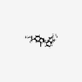 CCC(C)NC(=O)c1ccc2cc(-c3ccnc4[nH]c(C)nc34)[nH]c2c1